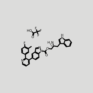 Cc1cc(-c2ncccc2-c2ccc3c(cnn3C(=O)OC[C@@H](N)Cc3c[nH]c4ccccc34)c2)ccc1F.O=C(O)C(F)(F)F